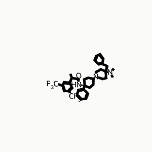 CC(C(=O)N[C@]1(c2ccccc2)CC[C@@H](N2CCC(Cc3ccccc3)(N(C)C)CC2)CC1)c1cc(C(F)(F)F)cc(C(F)(F)F)c1